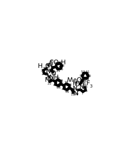 CO[C@](C(=O)N1CCCC1c1ncc(-c2ccc(-c3ccc(-c4cnc([C@@H]5CCCN5C(=O)[C@@H](c5ccccc5)N(C)C(=O)O)[nH]4)cc3)cc2)[nH]1)(c1ccccc1)C(F)(F)F